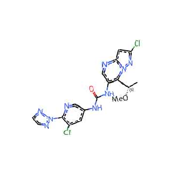 CO[C@@H](C)c1c(NC(=O)Nc2cnc(-n3nccn3)c(Cl)c2)cnc2cc(Cl)nn12